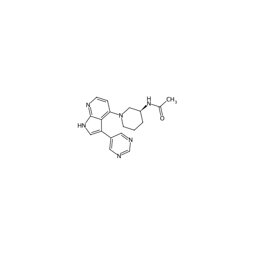 CC(=O)N[C@H]1CCCN(c2ccnc3[nH]cc(-c4cncnc4)c23)C1